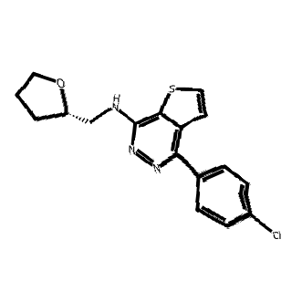 Clc1ccc(-c2nnc(NC[C@@H]3CCCO3)c3sccc23)cc1